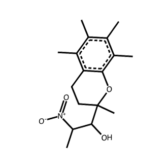 Cc1c(C)c(C)c2c(c1C)CCC(C)(C(O)C(C)[N+](=O)[O-])O2